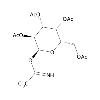 CC(=O)OC[C@@H]1O[C@@H](OC(=N)C(Cl)(Cl)Cl)[C@@H](OC(C)=O)[C@H](OC(C)=O)[C@@H]1OC(C)=O